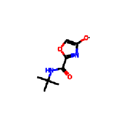 CC(C)(C)NC(=O)c1nc([O])co1